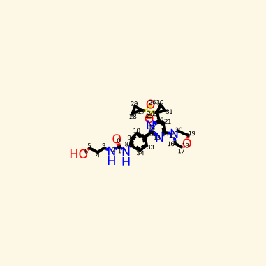 O=C(NCCCO)Nc1ccc(-c2nc(N3CCOCC3)cc(C3(S(=O)(=O)C4CC4)CC3)n2)cc1